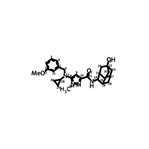 COc1cccc(CN(c2cc(C(=O)NC3C4CC5CC3CC(O)(C5)C4)nn2C)C2CC2)c1